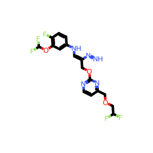 N=N/C(=C\Nc1ccc(F)c(OC(F)F)c1)COc1nccc(COCC(F)F)n1